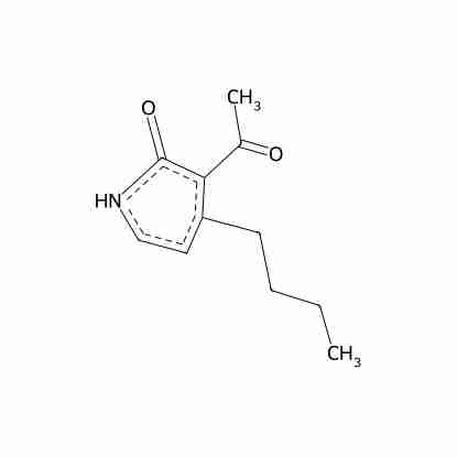 CCCCc1cc[nH]c(=O)c1C(C)=O